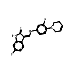 O=C1Nc2cc(F)ccc2C1=CNc1ccc(N2CC=CCC2)c(F)c1